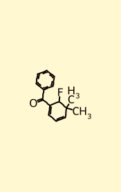 CC1(C)C=CC=C(C(=O)c2ccccc2)C1F